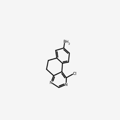 Bc1ccc2c(c1)CCc1ncnc(Cl)c1-2